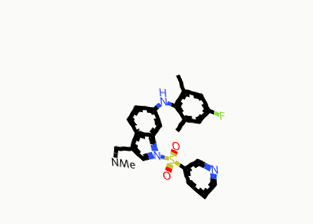 CNCc1cn(S(=O)(=O)c2cccnc2)c2cc(Nc3c(C)cc(F)cc3C)ccc12